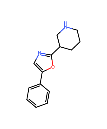 c1ccc(-c2cnc(C3CCCNC3)o2)cc1